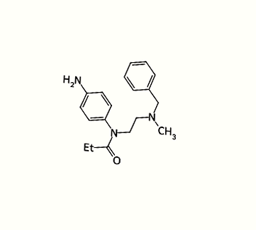 CCC(=O)N(CCN(C)Cc1ccccc1)c1ccc(N)cc1